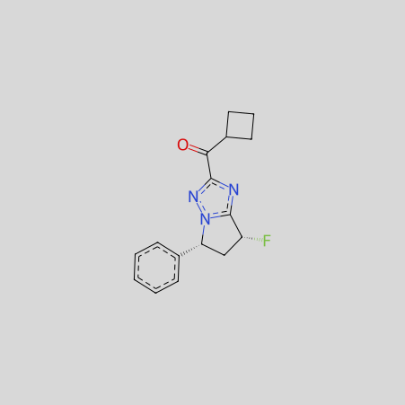 O=C(c1nc2n(n1)[C@@H](c1ccccc1)C[C@H]2F)C1CCC1